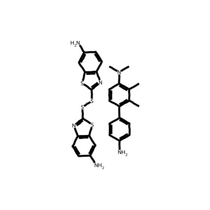 Cc1c(-c2ccc(N)cc2)ccc(N(C)C)c1C.Nc1ccc2nc(SSc3nc4ccc(N)cc4s3)sc2c1